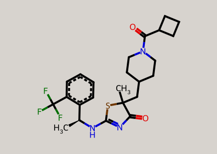 C[C@H](NC1=NC(=O)C(C)(CC2CCN(C(=O)C3CCC3)CC2)S1)c1ccccc1C(F)(F)F